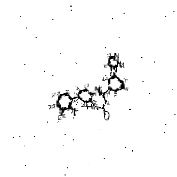 O=C1CC(c2cccc(-n3ccnn3)c2)=Nc2ccc(-c3cccc(F)c3F)cc2N1